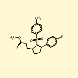 COC(=O)CC[C@@H]1CC[C@H](c2ccc(F)cc2)N1S(=O)(=O)c1ccc(C)cc1